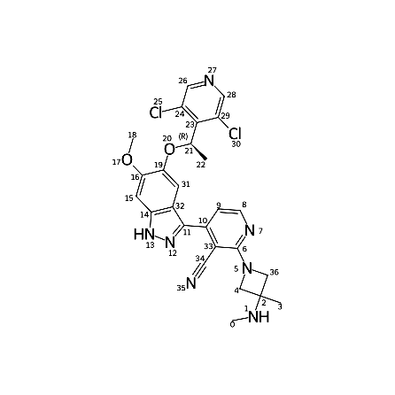 CNC1(C)CN(c2nccc(-c3n[nH]c4cc(OC)c(O[C@H](C)c5c(Cl)cncc5Cl)cc34)c2C#N)C1